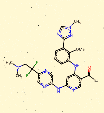 CCC(=O)c1cnc(Nc2cnc(C(F)(F)CN(C)C)cn2)cc1Nc1cccc(-c2ncn(C)n2)c1OC